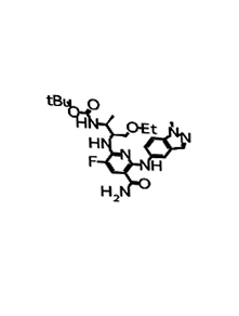 CCOC[C@@H](Nc1nc(Nc2ccc3c(cnn3C)c2)c(C(N)=O)cc1F)[C@H](C)NC(=O)OC(C)(C)C